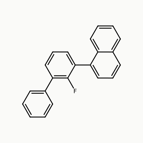 Fc1c(-c2ccccc2)cccc1-c1cccc2ccccc12